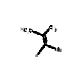 CCCCC(F)=C(C)C(=O)O